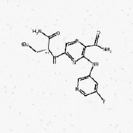 CC(C)(C)C[C@@H](Nc1cnc(C(N)=O)c(Nc2cncc(F)c2)n1)C(N)=O